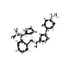 Cc1ccc(-c2csc(NC(=O)c3ccccc3N(c3cccs3)[SH](=O)=O)n2)cc1